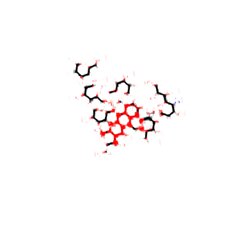 CC1C(O)[C@H](O[C@@H]2OC(CO)[C@H](O)C(O)[C@@H]2O)[C@H](CO)C[C@H]1O[C@@H]1C(O)[C@H](O)C(CO)O[C@@H]1OCC1O[C@@H](O[C@@H]2C(CO)O[C@@H](O[C@@H]3C(CO)O[C@@H](C)[C@@H](C)C3O)[C@@H](C)C2O)C(O)C(O[C@H]2O[C@H](CO)[C@@H](O)C(O)C2O[C@@H]2OC(CO)[C@@H](O[C@@H]3OC(CO)[C@H](O)C(O[C@]4(C(=O)O)C[C@@H](O)[C@@H](N)C([C@H](O)[C@H](O)CO)O4)[C@@H]3O)C(O)[C@@H]2C)[C@@H]1O